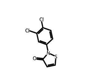 O=c1ccsn1-c1ccc(Cl)c(Cl)c1